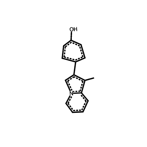 Cc1c(-c2ccc(O)cc2)cn2ccccc12